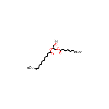 [2H]OC[C@@H](COC(=O)CCCCCCCCCCCCCCC)OC(=O)CCCCCCC/C=C\CCCCCCCC